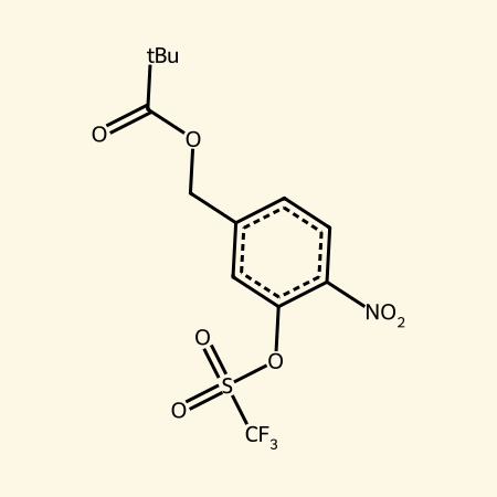 CC(C)(C)C(=O)OCc1ccc([N+](=O)[O-])c(OS(=O)(=O)C(F)(F)F)c1